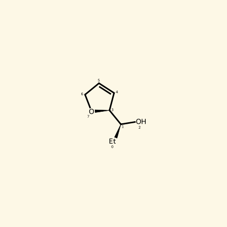 CC[C@H](O)[C@@H]1C=CCO1